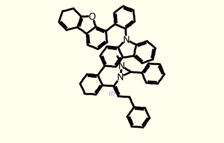 CN1C(c2ccccc2)N1/C(=C\Cc1ccccc1)C1=CCCC=C1c1ccc2c(c1)c1ccccc1n2-c1ccccc1-c1cccc2c3c(oc12)CCC=C3